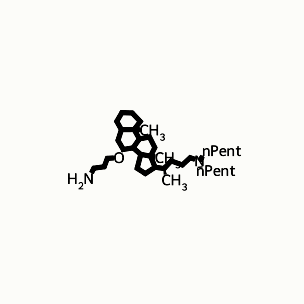 CCCCCN(CCCCC)CCC[C@@H](C)C1CCC2C3C(CCC21C)C1(C)CCCCC1C[C@H]3OCCCN